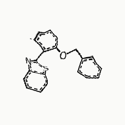 [c]1cccc(OCc2ccccc2)c1-c1nc2ccccc2s1